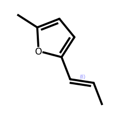 C/C=C/c1ccc(C)o1